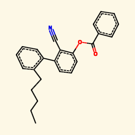 CCCCCc1ccccc1-c1cccc(OC(=O)c2ccccc2)c1C#N